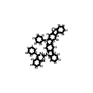 c1ccc(-c2nc(-n3c4ccccc4c4cc5c6cc7c(cc6n(-c6ccccc6)c5cc43)oc3ccccc37)nc3ccccc23)cc1